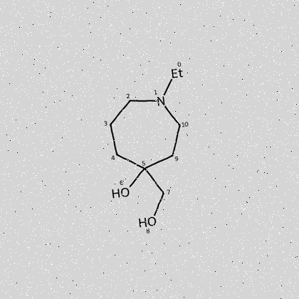 CCN1CCCC(O)(CO)CC1